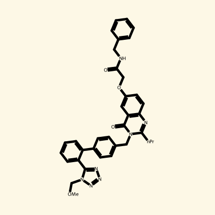 CCCc1nc2ccc(OCC(=O)NCc3ccccc3)cc2c(=O)n1Cc1ccc(-c2ccccc2-c2nnnn2COC)cc1